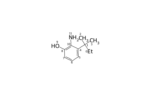 CCC(C)(C)c1cccc(O)c1N